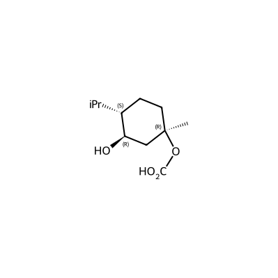 CC(C)[C@@H]1CC[C@@](C)(OC(=O)O)C[C@H]1O